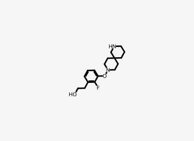 OCCc1cccc(ON2CCC3(CCCNC3)CC2)c1F